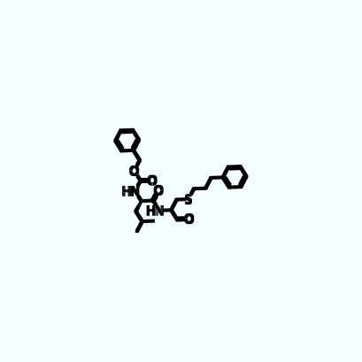 CC(C)C[C@@H](NC(=O)OCc1ccccc1)C(=O)NC(C=O)CSCCCc1ccccc1